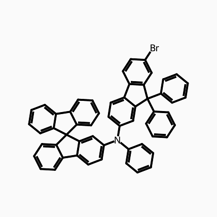 Brc1ccc2c(c1)C(c1ccccc1)(c1ccccc1)c1cc(N(c3ccccc3)c3ccc4c(c3)C3(c5ccccc5-c5ccccc53)c3ccccc3-4)ccc1-2